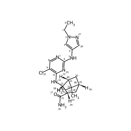 CCn1cc(Nc2ncc(Cl)c(N[C@H]3[C@@H](C(N)=O)C[C@H]4C[C@@H]3C4(C)C)n2)cn1